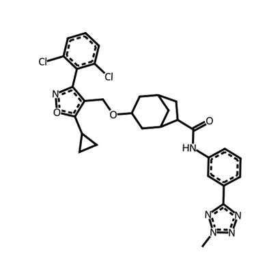 Cn1nnc(-c2cccc(NC(=O)C3CC4CC(OCc5c(-c6c(Cl)cccc6Cl)noc5C5CC5)CC3C4)c2)n1